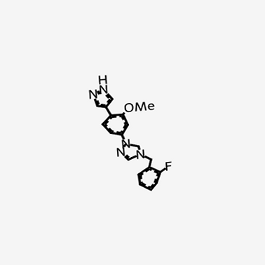 COc1cc(N2CN(Cc3ccccc3F)C=N2)ccc1-c1cn[nH]c1